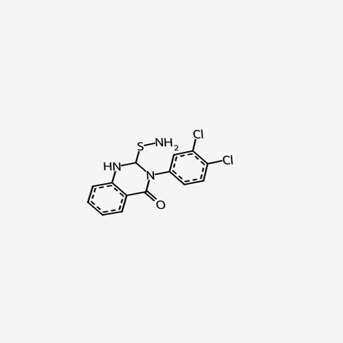 NSC1Nc2ccccc2C(=O)N1c1ccc(Cl)c(Cl)c1